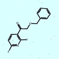 O=C(COCc1ccccc1)c1ccc(F)nc1F